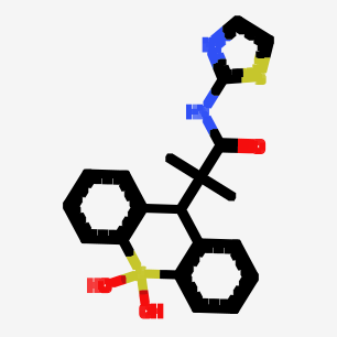 CC(C)(C(=O)Nc1nccs1)C1c2ccccc2S(O)(O)c2ccccc21